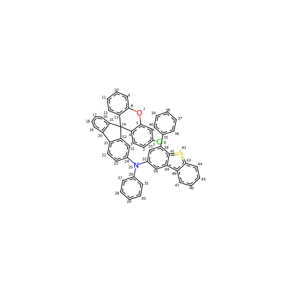 Clc1ccc2c(c1)Oc1ccccc1C21c2ccccc2-c2ccc(N(c3ccccc3)c3cc(-c4ccccc4)c4sc5ccccc5c4c3)cc21